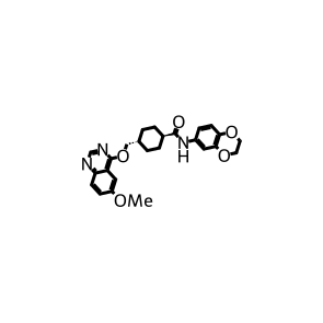 COc1ccc2ncnc(OC[C@H]3CC[C@H](C(=O)Nc4ccc5c(c4)OCCO5)CC3)c2c1